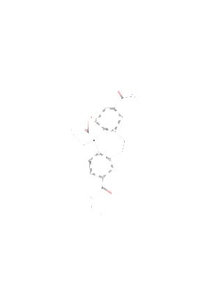 C[C@H](N)CC1(C(=O)O)c2ccc(C(=O)N(C)C)cc2CCc2cc(C(=O)N(C)C)ccc21